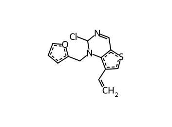 C=Cc1csc2c1N(Cc1ccco1)C(Cl)N=C2